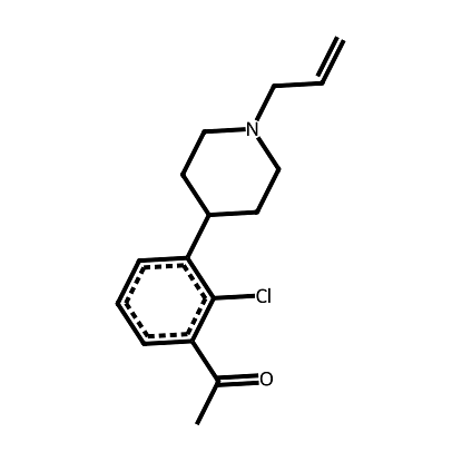 C=CCN1CCC(c2cccc(C(C)=O)c2Cl)CC1